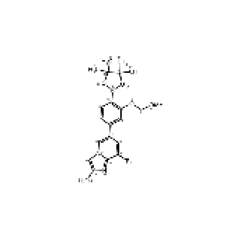 COCOc1cc(-c2cc(F)c3nc(C)cn3c2)ccc1B1OC(C)(C)C(C)(C)O1